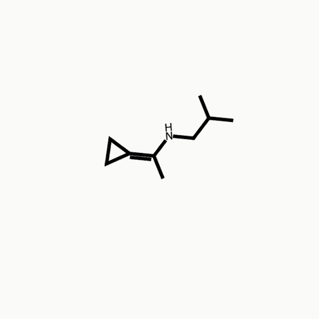 CC(NCC(C)C)=C1CC1